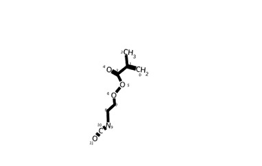 C=C(C)C(=O)OOCCN=C=O